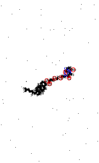 CC(C)CCC[C@@H](C)[C@H]1CC[C@H]2[C@@H]3CC=C4C[C@@H](OC(=O)CCOCCOCCNC(=O)C(C)N5C(=O)C=CC5=O)CC[C@]4(C)[C@H]3CC[C@]12C